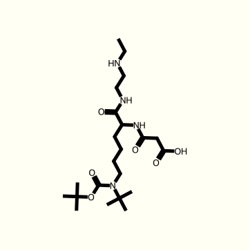 CCNCCNC(=O)C(CCCCN(C(=O)OC(C)(C)C)C(C)(C)C)NC(=O)CC(=O)O